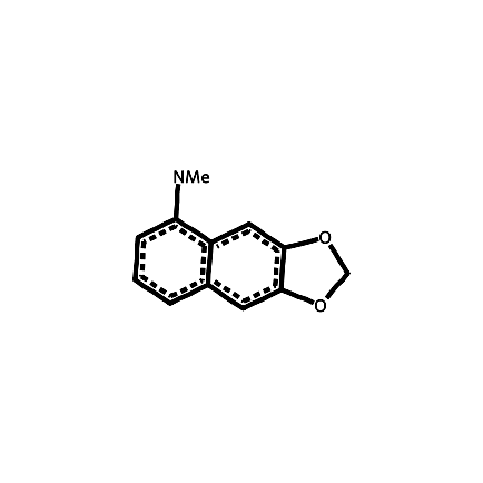 CNc1cccc2cc3c(cc12)OCO3